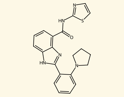 O=C(Nc1nccs1)c1cccc2[nH]c(-c3ccccc3N3CCCC3)nc12